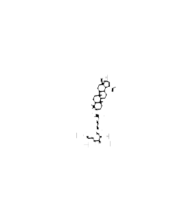 C=C(C)[C@@H]1CCC2(CO)CC[C@]3(C)C(CCC4C5(C)CCC(OC(=O)OCCOC6OC(CO)[C@@H](O)C(O)[C@H]6O)C(C)(C)C5CCC43C)C12